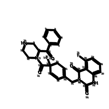 O=C(c1ccccc1)C1CNCCN1C(=O)C1(F)C=CC(Cn2c(=O)[nH]c3cccc(F)c3c2=O)=CC1